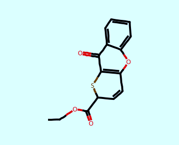 CCOC(=O)C1C=Cc2oc3ccccc3c(=O)c2S1